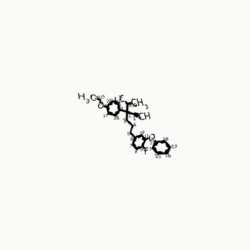 C#CC(CCCc1ccc(F)c(Oc2ccccc2)c1)(c1ccc(OCC)cc1)C(C)C